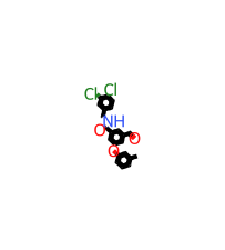 Cc1cccc(Oc2cc(C=O)cc(C(=O)NCc3ccc(Cl)c(Cl)c3)c2)c1